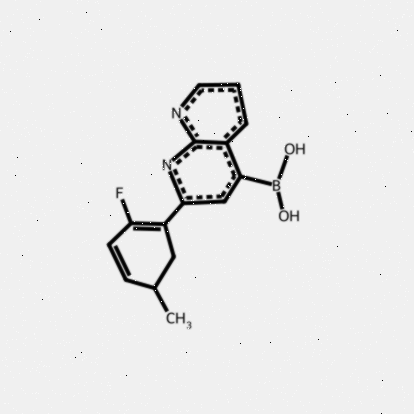 CC1C=CC(F)=C(c2cc(B(O)O)c3cccnc3n2)C1